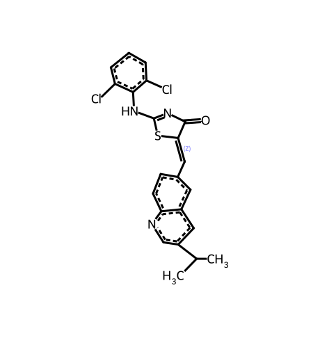 CC(C)c1cnc2ccc(/C=C3\SC(Nc4c(Cl)cccc4Cl)=NC3=O)cc2c1